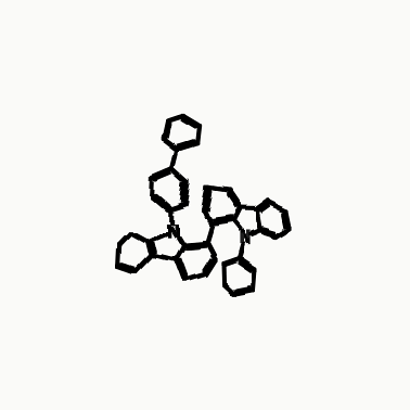 C1=CCCC(n2c3ccccc3c3cccc(-c4cccc5c6c(n(-c7ccc(-c8ccccc8)cc7)c45)CCC=C6)c32)=C1